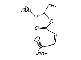 CCCCOC(C)OC(=O)/C=C\C(=O)OC